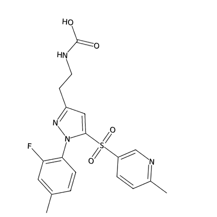 Cc1ccc(-n2nc(CCNC(=O)O)cc2S(=O)(=O)c2ccc(C)nc2)c(F)c1